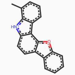 Cc1cccc2c1[nH]c1ccc3c4ccccc4oc3c12